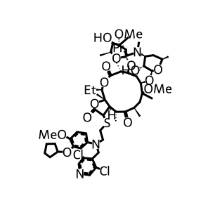 CC[C@H]1OC(=O)[C@H](C)[C@@H](O[C@H]2C[C@@](C)(OC)[C@@H](O)[C@H](C)O2)[C@H](C)[C@@H](O[C@@H]2O[C@H](C)C[C@H](N(C)CC(C)C)[C@H]2O)[C@](C)(OC)C[C@@H](C)C(=O)[C@H](C)[C@H]2C(SCCN(Cc3c(Cl)cncc3Cl)c3ccc(OC)c(OC4CCCC4)c3)C(=O)O[C@@]21C